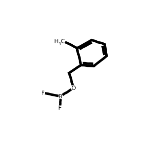 Cc1ccccc1COB(F)F